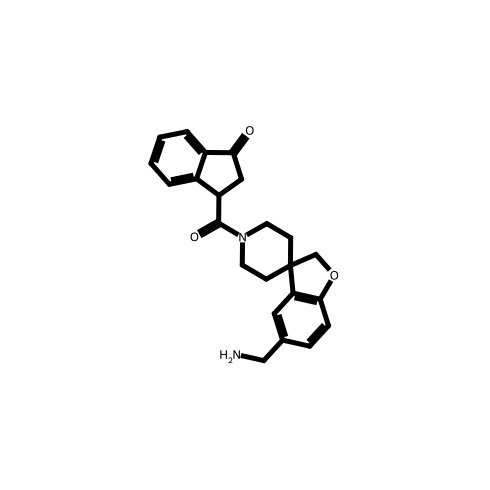 NCc1ccc2c(c1)C1(CCN(C(=O)C3CC(=O)c4ccccc43)CC1)CO2